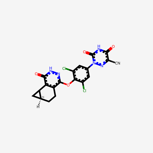 N#Cc1nn(-c2cc(Cl)c(Oc3n[nH]c(=O)c4c3CC[C@H]3CC43)c(Cl)c2)c(=O)[nH]c1=O